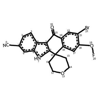 N#Cc1ccc2c3c([nH]c2c1)C1(CCOCC1)c1cc(OF)c(Br)cc1C3=O